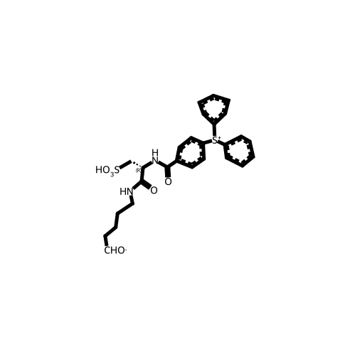 O=[C]CCCCNC(=O)[C@H](CS(=O)(=O)O)NC(=O)c1ccc([S+](c2ccccc2)c2ccccc2)cc1